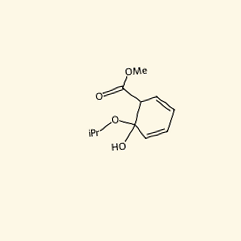 COC(=O)C1C=CC=CC1(O)OC(C)C